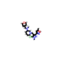 Cc1cc(-c2nn(C)c(Cl)c2CN2CCCCC(N(C)CC3CCOCC3)C2)no1